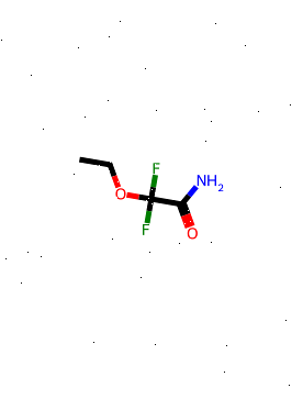 CCOC(F)(F)C(N)=O